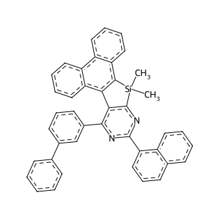 C[Si]1(C)c2nc(-c3cccc4ccccc34)nc(-c3cccc(-c4ccccc4)c3)c2-c2c1c1ccccc1c1ccccc21